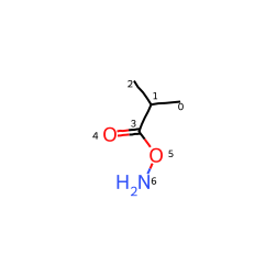 CC(C)C(=O)ON